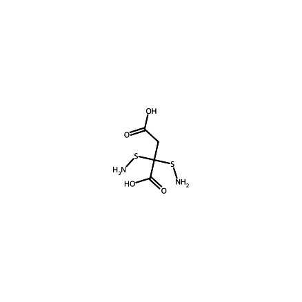 NSC(CC(=O)O)(SN)C(=O)O